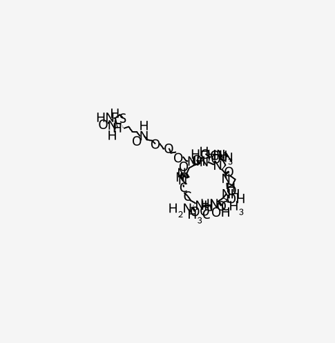 CC(O)[C@@H]1NC(=O)[C@@H](NC(=O)COCCOCCOCCNC(=O)CCCC[C@H]2SC[C@H]3NC(=O)N[C@H]32)Cc2cn(nn2)CCCC[C@@H](C(N)=O)NC(=O)[C@H](C(C)O)NC(=O)[C@H](C(C)O)NC(=O)[C@@H]2CCCN2C(=O)[C@H](Cc2c[nH]cn2)NC1=O